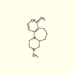 C=CC1=C(/C=C\C)N2CCN(C)CC2CCC1